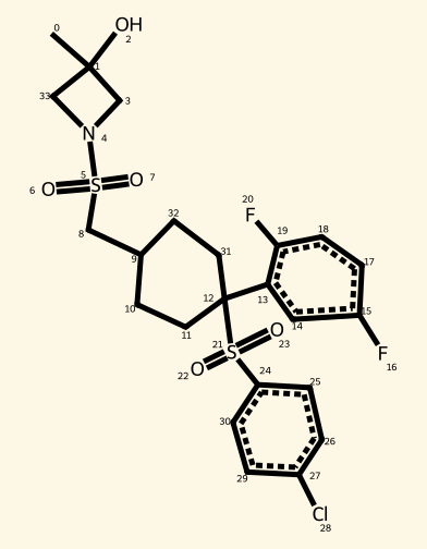 CC1(O)CN(S(=O)(=O)CC2CCC(c3cc(F)ccc3F)(S(=O)(=O)c3ccc(Cl)cc3)CC2)C1